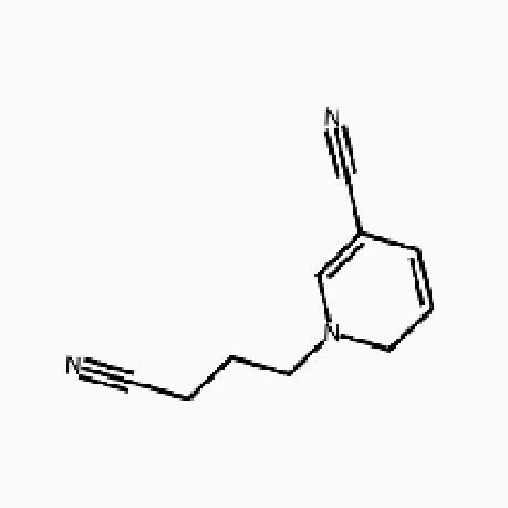 N#CCCCN1C=C(C#N)C=CC1